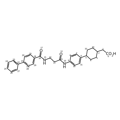 O=C(O)CC1CCC(c2ccc(NC(=O)CCNC(=O)c3ccc(-c4ccccc4)nc3)cc2)CC1